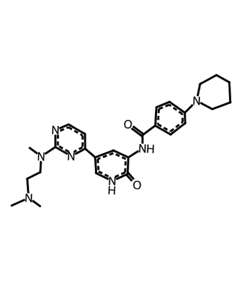 CN(C)CCN(C)c1nccc(-c2c[nH]c(=O)c(NC(=O)c3ccc(N4CCCCC4)cc3)c2)n1